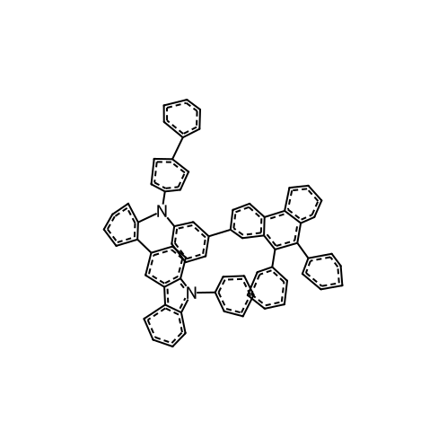 c1ccc(-c2ccc(N(c3cccc(-c4ccc5c(c4)c(-c4ccccc4)c(-c4ccccc4)c4ccccc45)c3)c3ccccc3-c3ccc4c(c3)c3ccccc3n4-c3ccccc3)cc2)cc1